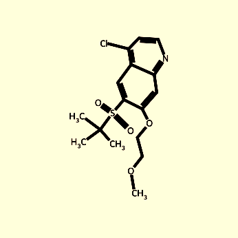 COCCOc1cc2nccc(Cl)c2cc1S(=O)(=O)C(C)(C)C